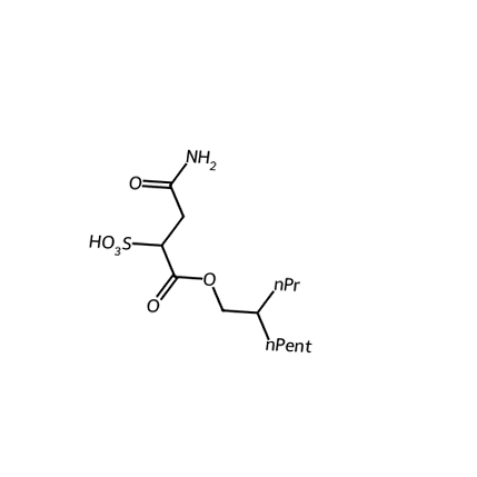 CCCCCC(CCC)COC(=O)C(CC(N)=O)S(=O)(=O)O